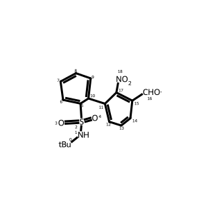 CC(C)(C)NS(=O)(=O)c1ccccc1-c1cccc([C]=O)c1[N+](=O)[O-]